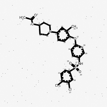 CC(=O)OC1CCN(c2ccc(Oc3ccc(NS(=O)(=O)c4ccc(Cl)c(Cl)c4)cn3)c(C)c2)CC1